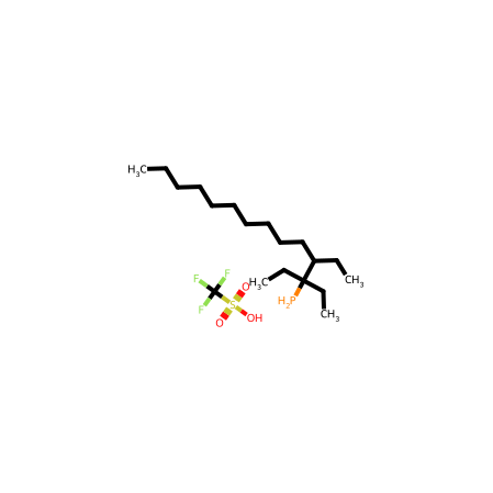 CCCCCCCCCCC(CC)C(P)(CC)CC.O=S(=O)(O)C(F)(F)F